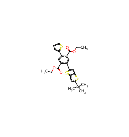 CCOC(=O)c1cc(-c2cc3sc([Si](C)(C)C)cc3s2)c(C(=O)OCC)cc1-c1cccs1